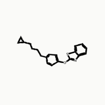 [CH](CCc1ccc(Oc2nc3ccccc3s2)cc1)CC1CC1